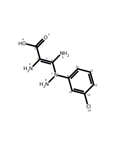 N/C(C(=O)O)=C(/N)N(N)c1cccc(Cl)c1